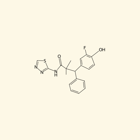 CC(C)(C(=O)Nc1nncs1)C(c1ccccc1)c1ccc(O)c(F)c1